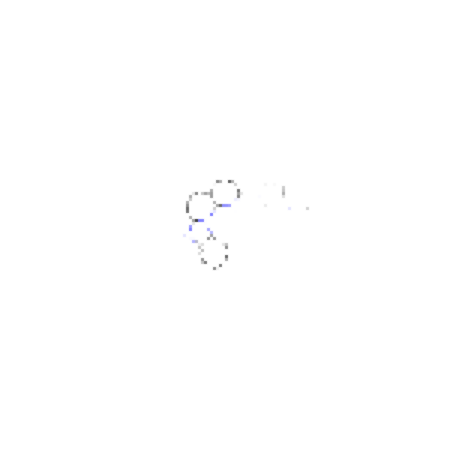 CN(C)C1CCN(c2ccc3cc(C(C)(C)O)c4nc5ccccc5n4c3n2)C1